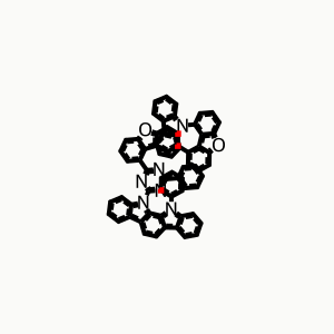 c1ccc(-c2nc(-c3cccc4oc5ccc(-c6cccc7oc8cccc(-n9c%10ccccc%10c%10ccccc%109)c8c67)cc5c34)nc(-n3c4ccccc4c4ccc5c6ccccc6n(-c6ccccc6)c5c43)n2)cc1